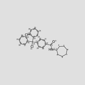 O=C(NC1CCCCCC1)c1ccc(C(Cl)(c2ccccc2)c2ccccc2Cl)cc1